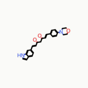 O=C(C=Cc1ccc(N2CCOCC2)cc1)CC(=O)C=Cc1ccc2cc[nH]c2c1